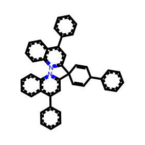 C1=CC(c2cc(-c3ccccc3)c3ccccc3n2)(c2cc(-c3ccccc3)c3ccccc3n2)C=CC1c1ccccc1